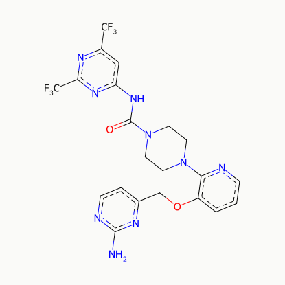 Nc1nccc(COc2cccnc2N2CCN(C(=O)Nc3cc(C(F)(F)F)nc(C(F)(F)F)n3)CC2)n1